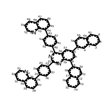 c1ccc2cc(-c3cc(-c4ccc5ccccc5c4)c4nc(-c5ccc(-c6cccc7cccnc67)cc5)nc(-c5ccc(-c6cccc7cccnc67)cc5)c4c3)ccc2c1